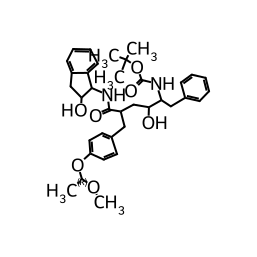 CO[C@@H](C)Oc1ccc(CC(CC(O)C(Cc2ccccc2)NC(=O)OC(C)(C)C)C(=O)NC2c3ccccc3CC2O)cc1